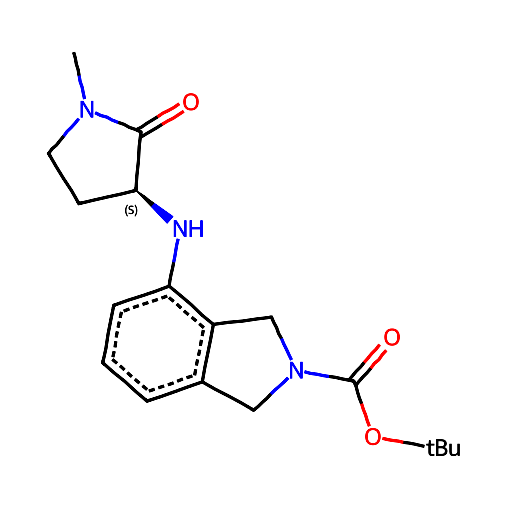 CN1CC[C@H](Nc2cccc3c2CN(C(=O)OC(C)(C)C)C3)C1=O